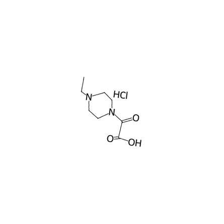 CCN1CCN(C(=O)C(=O)O)CC1.Cl